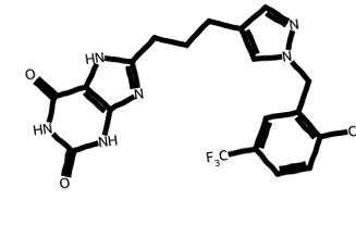 O=c1[nH]c(=O)c2[nH]c(CCCc3cnn(Cc4cc(C(F)(F)F)ccc4Cl)c3)nc2[nH]1